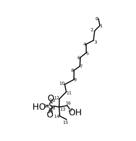 CCCCCCCCCCCCCC(CC)(CO)S(=O)(=O)O